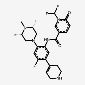 C[C@@H]1CN(c2cc(F)c(C3=CCNCC3)cc2NC(=O)c2ccc(=O)n(C(F)F)c2)C[C@H](C)N1C